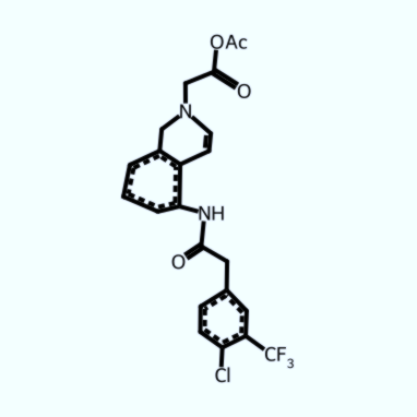 CC(=O)OC(=O)CN1C=Cc2c(cccc2NC(=O)Cc2ccc(Cl)c(C(F)(F)F)c2)C1